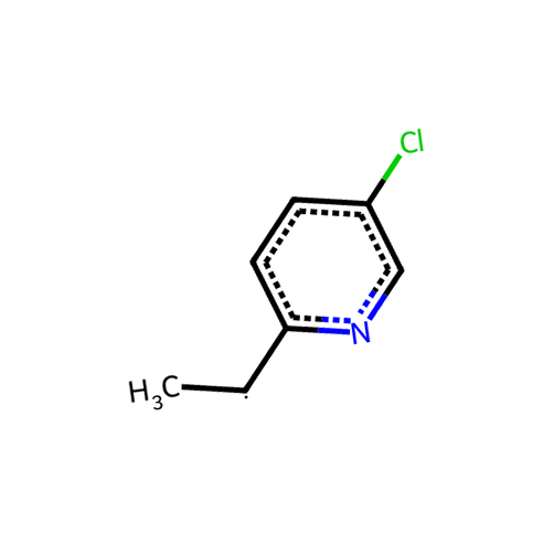 C[CH]c1ccc(Cl)cn1